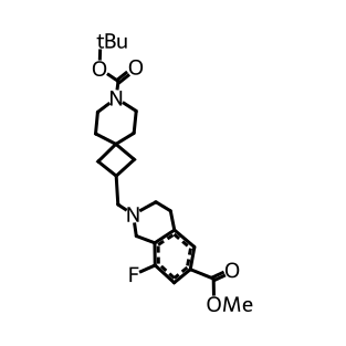 COC(=O)c1cc(F)c2c(c1)CCN(CC1CC3(CCN(C(=O)OC(C)(C)C)CC3)C1)C2